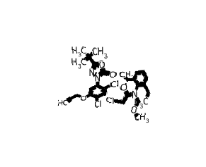 C#CCOc1cc(-n2nc(C(C)(C)C)oc2=O)c(Cl)cc1Cl.CCc1cccc(CC)c1N(COC)C(=O)CCl